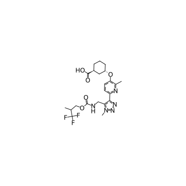 Cc1nc(-c2nnn(C)c2CNC(=O)OCC(C)C(F)(F)F)ccc1O[C@H]1CCC[C@H](C(=O)O)C1